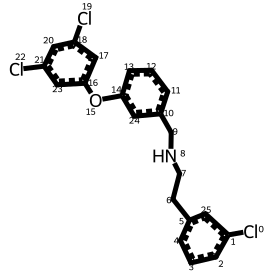 Clc1cccc(CCNCc2cccc(Oc3cc(Cl)cc(Cl)c3)c2)c1